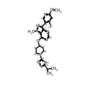 COc1cc(F)c(-c2nn(C)c3c(OC4CCN(c5nc(C(C)C)no5)CC4)ncnc23)cn1